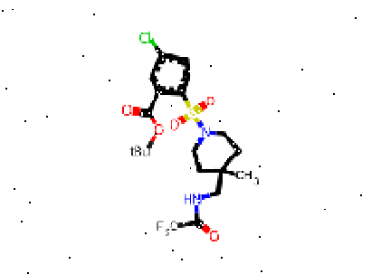 CC1(CNC(=O)C(F)(F)F)CCN(S(=O)(=O)c2ccc(Cl)cc2C(=O)OC(C)(C)C)CC1